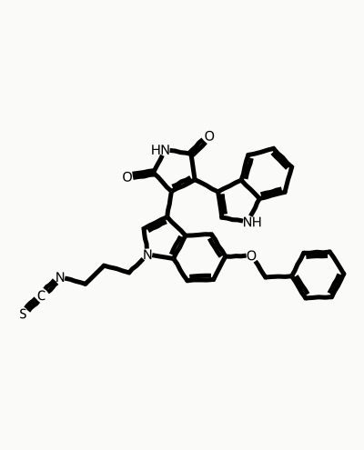 O=C1NC(=O)C(c2cn(CCCN=C=S)c3ccc(OCc4ccccc4)cc23)=C1c1c[nH]c2ccccc12